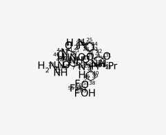 CC(C)C[C@H](NC(=O)[C@H](CCCNC(=N)N)NC(=O)[C@@H](NC(=O)C(Cc1ccc(N)cc1)C(=O)N(C(C)C)C(C)C)C1CCCCC1)C(=O)N1CCC[C@H]1C(N)=O.O=C(O)C(F)(F)F